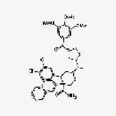 COc1cc(C(=O)N2CCC(C(C)N3CCC(C(N)=O)(c4ccc5ccccc5c4)C(c4ccc(Cl)c(Cl)c4)C3)C2)cc(OC)c1OC